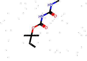 CCC(C)(C)OC(=O)NC(=O)NC